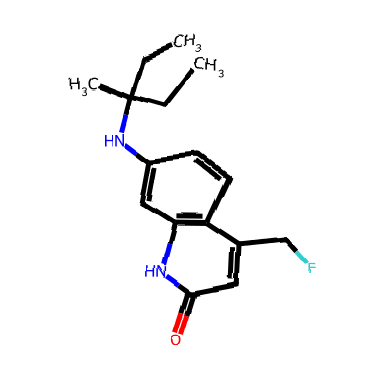 CCC(C)(CC)Nc1ccc2c(CF)cc(=O)[nH]c2c1